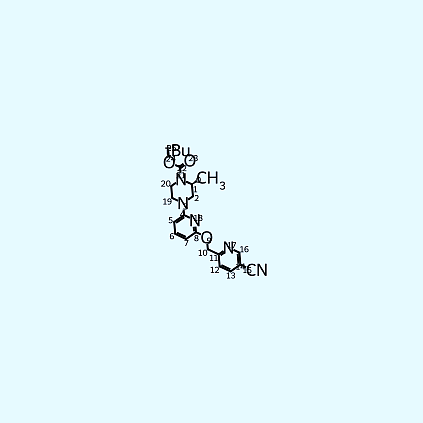 C[C@H]1CN(c2cccc(OCc3ccc(C#N)cn3)n2)CCN1C(=O)OC(C)(C)C